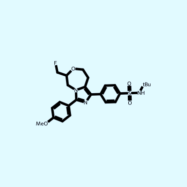 COc1ccc(-c2nc(-c3ccc(S(=O)(=O)NC(C)(C)C)cc3)c3n2CC(CF)OCC3)cc1